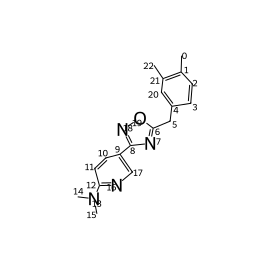 Cc1ccc(Cc2nc(-c3ccc(N(C)C)nc3)no2)cc1C